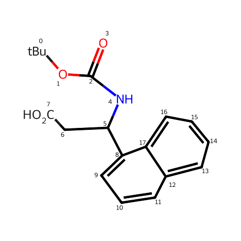 CC(C)(C)OC(=O)NC(CC(=O)O)c1cccc2ccccc12